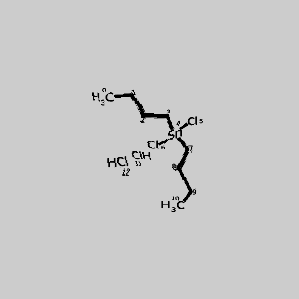 CCC[CH2][Sn]([Cl])([Cl])[CH2]CCC.Cl.Cl